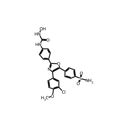 COc1ccc(-c2nc(-c3ccc(NC(=O)NO)cc3)oc2-c2ccc(S(N)(=O)=O)cc2)cc1Cl